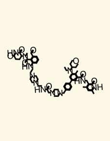 CCN(c1cc(-c2ccc(CN3CCN(CC(=O)NCCN4CCN(CCNc5cccc(C=O)c5C(=O)N(C)C5CCC(=O)NC5=O)CC4)CC3)cc2)cc(C(=O)NCc2c(C)cc(C)[nH]c2=O)c1C)C1CCOCC1